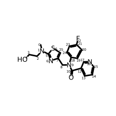 CN(CCO)c1nc(CN(C(=O)c2cccnc2)c2ccc(F)cc2)cs1